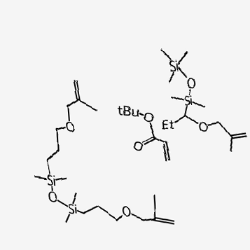 C=C(C)COC(CC)[Si](C)(C)O[Si](C)(C)C.C=C(C)COCCC[Si](C)(C)O[Si](C)(C)CCCOCC(=C)C.C=CC(=O)OC(C)(C)C